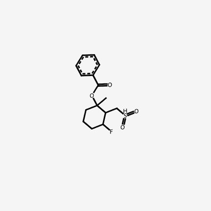 CC1(OC(=O)c2ccccc2)CCCC(F)C1C[SH](=O)=O